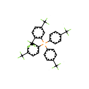 FC(F)(F)c1ccc([PH](c2ccc(C(F)(F)F)cc2)(c2ccc(C(F)(F)F)cc2)c2cc(C(F)(F)F)ccc2C(F)(F)F)cc1